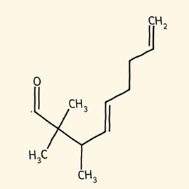 C=CCCC=CC(C)C(C)(C)[C]=O